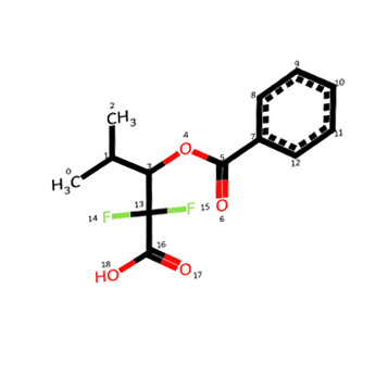 CC(C)C(OC(=O)c1ccccc1)C(F)(F)C(=O)O